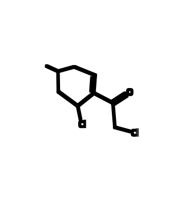 CC1CC=C(C(=O)CCl)C(Cl)C1